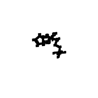 C[N+](C)(C)CCOP(=O)(O)OC1CC=CC1